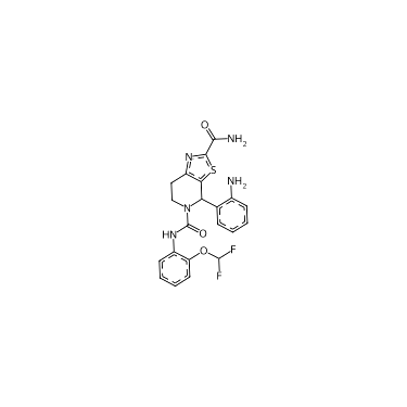 NC(=O)c1nc2c(s1)C(c1ccccc1N)N(C(=O)Nc1ccccc1OC(F)F)CC2